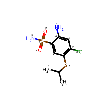 CC(C)Sc1cc(S(N)(=O)=O)c(N)cc1Cl